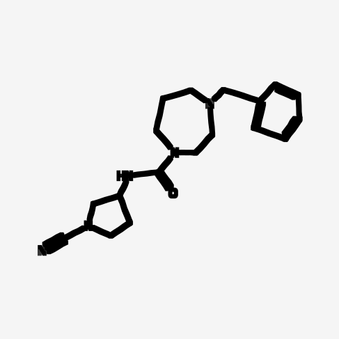 N#CN1CCC(NC(=O)N2CCCN(Cc3ccccc3)CC2)C1